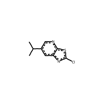 CC(C)c1cnc2sc(Cl)nc2c1